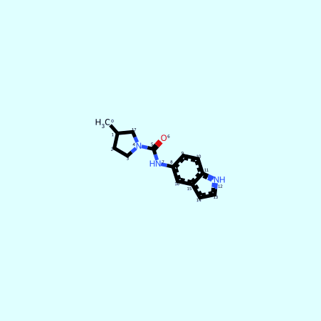 CC1CCN(C(=O)Nc2ccc3[nH]ccc3c2)C1